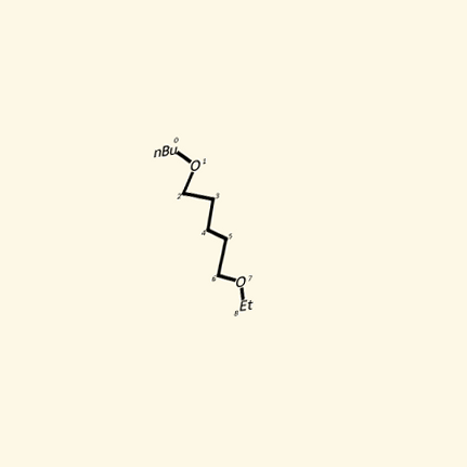 CCCCOCCCCCOCC